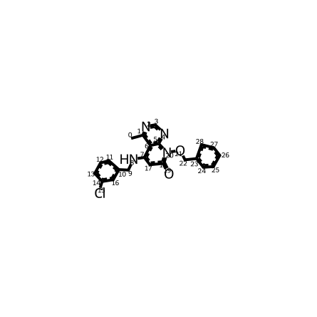 Cc1ncnc2c1c(NCc1cccc(Cl)c1)cc(=O)n2OCc1ccccc1